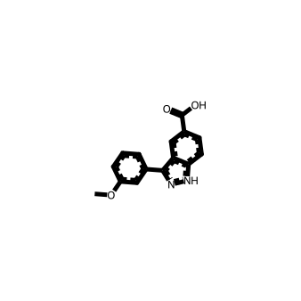 COc1cccc(-c2n[nH]c3ccc(C(=O)O)cc23)c1